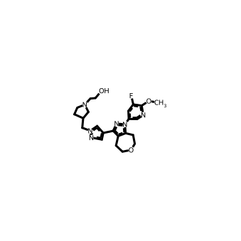 COc1ncc(-n2nc(-c3cnn(CC4CCN(CCO)C4)c3)c3c2CCOCC3)cc1F